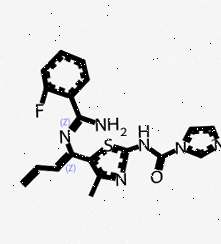 C=C/C=C(\N=C(/N)c1ccccc1F)c1sc(NC(=O)n2ccnc2)nc1C